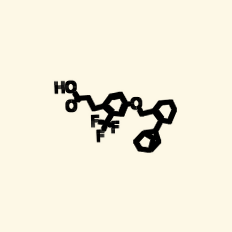 O=C(O)CCc1ccc(OCC2=C(C3CC4CCC3C4)CCCC2)cc1C(F)(F)F